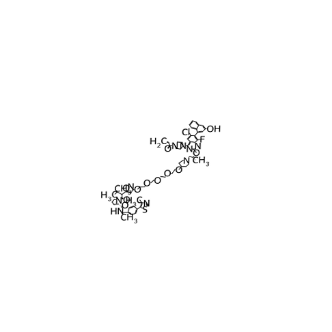 C=CC(=O)N1CCN(c2nc(O[C@H](C)CN3CCC(OCCOCCOCCOCCOc4cc(C(C(=O)N5CCC[C@H]5C(=O)N[C@@H](C)c5ccc(-c6scnc6C)cc5)C(C)C)on4)CC3)nc3c(F)c(-c4cc(O)cc5ccccc45)c(Cl)cc23)CC1